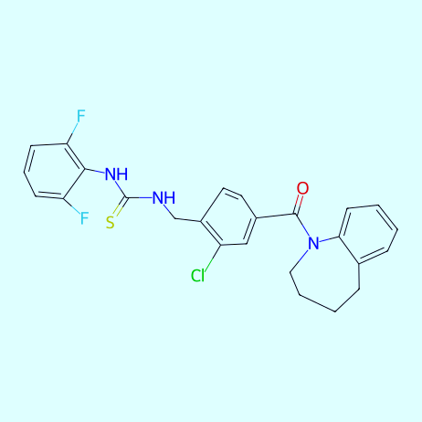 O=C(c1ccc(CNC(=S)Nc2c(F)cccc2F)c(Cl)c1)N1CCCCc2ccccc21